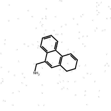 NCc1cc2c(c3ccccc13)C=CCC2